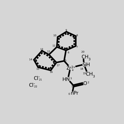 CCCC(=O)[NH][Zr+2]([CH]1c2ccccc2-c2ccccc21)[SiH](C)C.[Cl-].[Cl-]